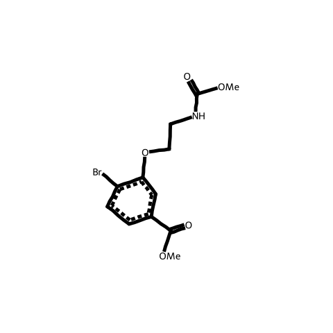 COC(=O)NCCOc1cc(C(=O)OC)ccc1Br